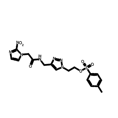 Cc1ccc(S(=O)(=O)OCCn2cc(CNC(=O)Cn3ccnc3[N+](=O)[O-])nn2)cc1